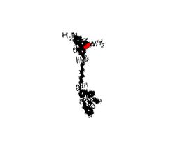 CCc1cccc(N(CC)C(=O)Cn2c(C(=O)N[C@H]3CC[C@H](C(=O)NCCCCCCCCNC(=O)c4ccc5c(c4)C(=O)OC54c5ccc(N)cc5Oc5cc(N)ccc54)CC3)cc3ccccc32)c1